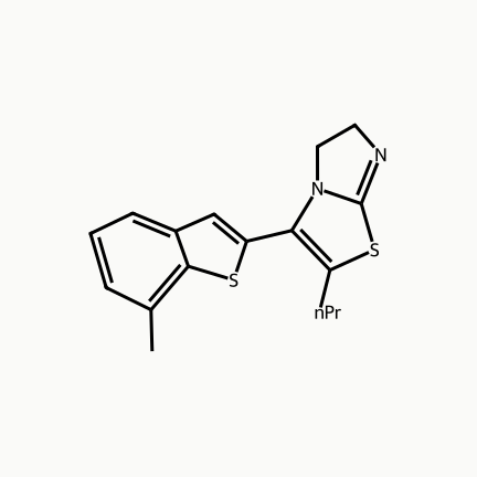 CCCC1=C(c2cc3cccc(C)c3s2)N2CCN=C2S1